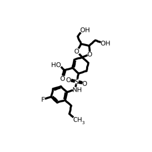 CCCc1cc(F)ccc1NS(=O)(=O)C1CCC2(C=C1C(=O)O)OC(CO)C(CO)O2